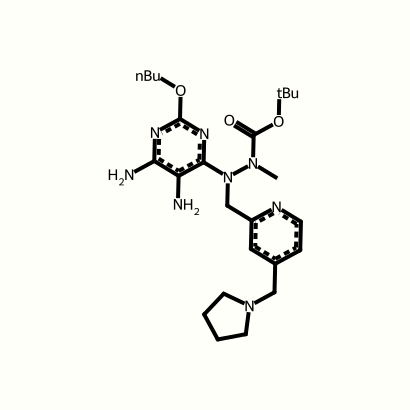 CCCCOc1nc(N)c(N)c(N(Cc2cc(CN3CCCC3)ccn2)N(C)C(=O)OC(C)(C)C)n1